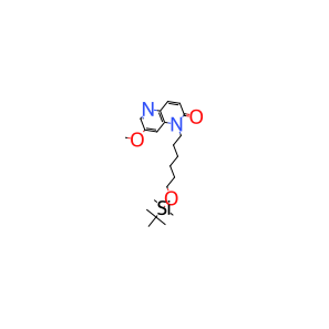 COc1cnc2ccc(=O)n(CCCCCCO[Si](C)(C)C(C)(C)C)c2c1